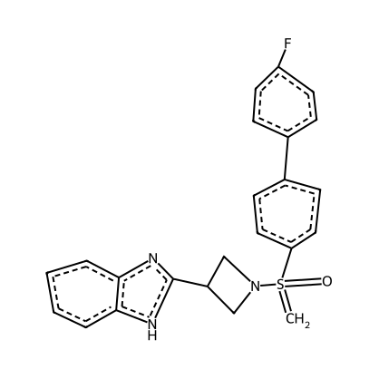 C=S(=O)(c1ccc(-c2ccc(F)cc2)cc1)N1CC(c2nc3ccccc3[nH]2)C1